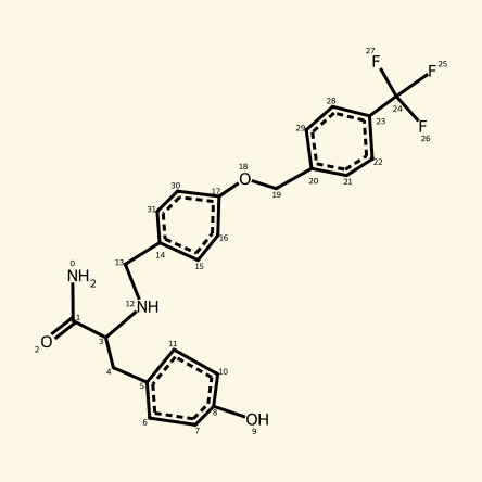 NC(=O)C(Cc1ccc(O)cc1)NCc1ccc(OCc2ccc(C(F)(F)F)cc2)cc1